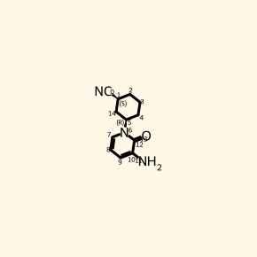 N#C[C@H]1CCC[C@@H](n2cccc(N)c2=O)C1